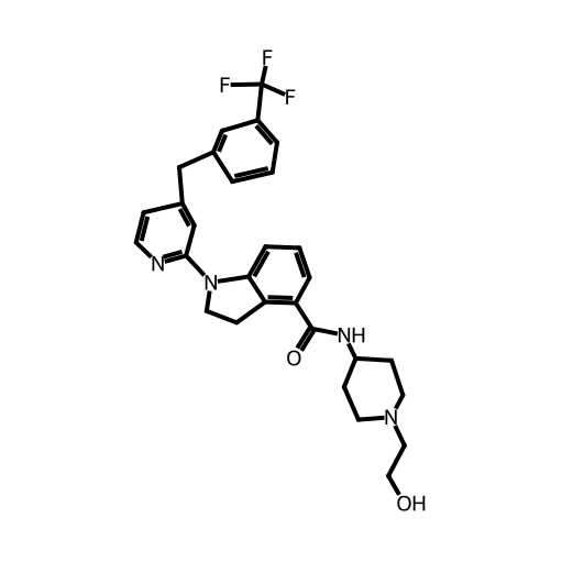 O=C(NC1CCN(CCO)CC1)c1cccc2c1CCN2c1cc(Cc2cccc(C(F)(F)F)c2)ccn1